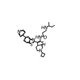 CCC(C)NCCC(=O)NC1=C(c2nc3cc(-c4ccncc4)ccc3s2)C2CCN(C3CCC3)C[C@H]2S1